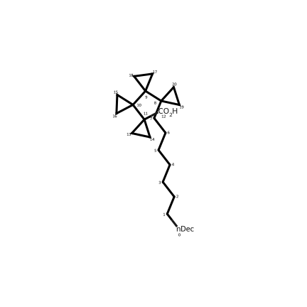 CCCCCCCCCCCCCCCCCC1(C2(C3(C4(C(=O)O)CC4)CC3)CC2)CC1